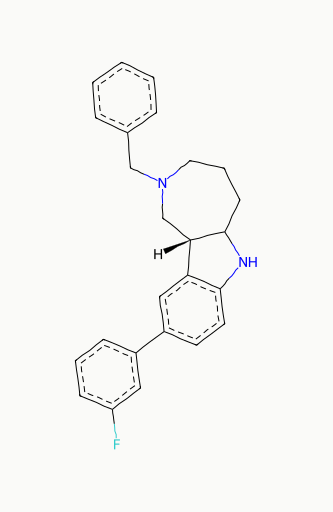 Fc1cccc(-c2ccc3c(c2)[C@@H]2CN(Cc4ccccc4)CCCC2N3)c1